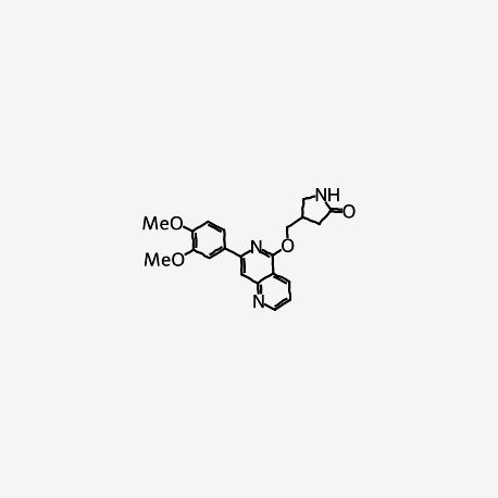 COc1ccc(-c2cc3ncccc3c(OCC3CNC(=O)C3)n2)cc1OC